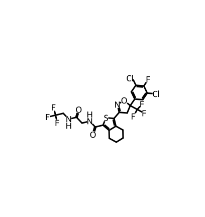 O=C(CNC(=O)c1sc(C2=NOC(c3cc(Cl)c(F)c(Cl)c3)(C(F)(F)F)C2)c2c1CCCC2)NCC(F)(F)F